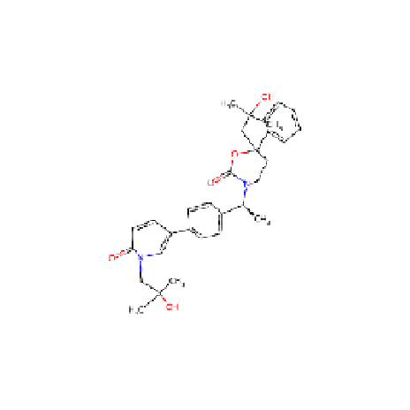 C[C@@H](c1ccc(-c2ccc(=O)n(CC(C)(C)O)c2)cc1)N1CCC(CC(C)(C)O)(c2ccccc2)OC1=O